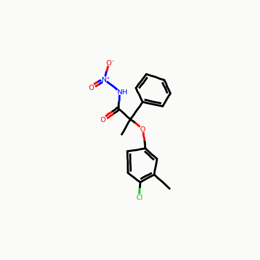 Cc1cc(OC(C)(C(=O)N[N+](=O)[O-])c2ccccc2)ccc1Cl